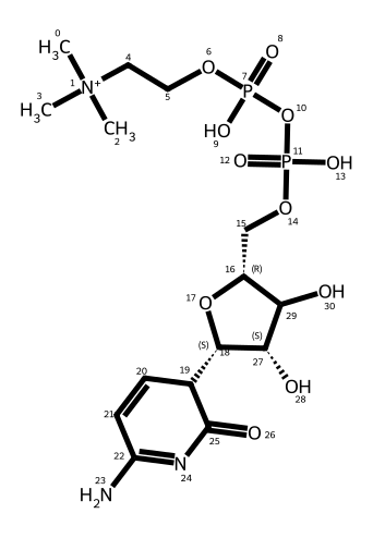 C[N+](C)(C)CCOP(=O)(O)OP(=O)(O)OC[C@H]1O[C@@H](C2C=CC(N)=NC2=O)[C@@H](O)C1O